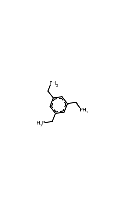 PCc1cc(CP)cc(CP)c1